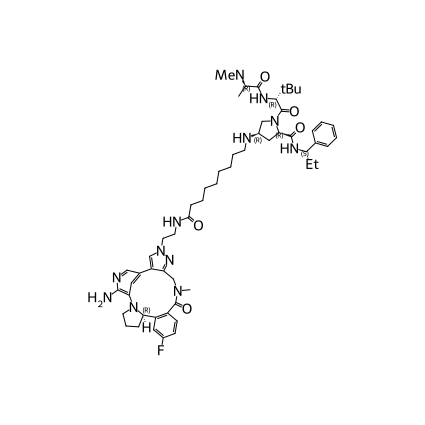 CC[C@H](NC(=O)[C@H]1C[C@@H](NCCCCCCCCC(=O)NCCn2cc3c(n2)CN(C)C(=O)c2ccc(F)cc2[C@H]2CCCN2c2cc-3cnc2N)CN1C(=O)[C@H](NC(=O)[C@@H](C)NC)C(C)(C)C)c1ccccc1